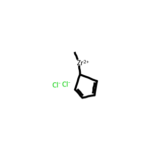 [CH3][Zr+2][CH]1C=CC=C1.[Cl-].[Cl-]